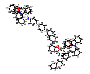 C1=Cc2c(c3ccccc3n2-c2ccccc2N(c2ccc(-c3ccc(-c4ccc5ccc(-c6cccc7c6oc6c(-c8ccccc8N(c8ccc(-c9ccc%10ccccc%10c9)cc8)c8ccccc8-n8c9ccccc9c9ccccc98)cccc67)cc5c4)cc3)cc2)c2ccccc2-c2cccc3c2oc2ccccc23)CC1